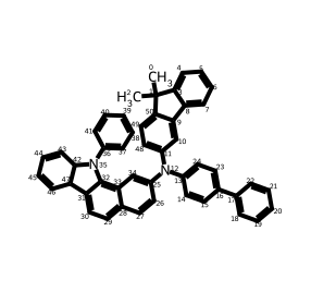 CC1(C)c2ccccc2-c2cc(N(c3ccc(-c4ccccc4)cc3)c3ccc4ccc5c(c4c3)N(c3ccccc3)C3C=CC=CC53)ccc21